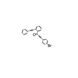 O=C(C#Cc1ccc(Br)cc1)c1ccccc1C#Cc1ccccc1